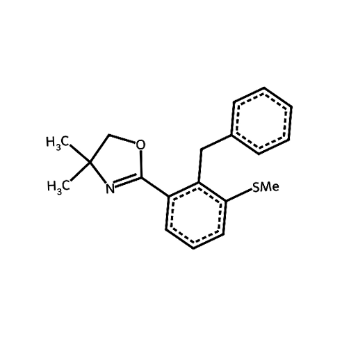 CSc1cccc(C2=NC(C)(C)CO2)c1Cc1ccccc1